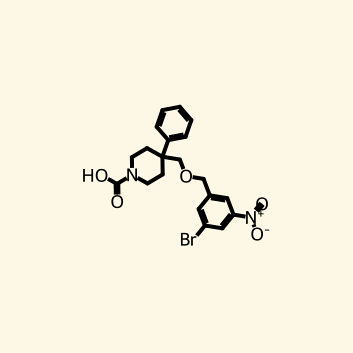 O=C(O)N1CCC(COCc2cc(Br)cc([N+](=O)[O-])c2)(c2ccccc2)CC1